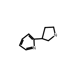 c1ccc(C2CC[N]C2)nc1